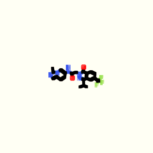 Cc1ncc2ccc(NC(=O)Cn3nc(C(C)C)c4cc(C(F)(F)F)ccc4c3=O)cn12